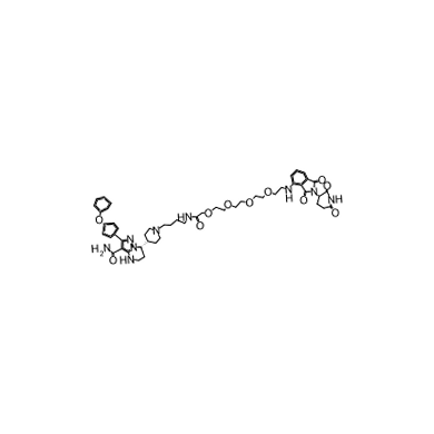 NC(=O)c1c(-c2ccc(Oc3ccccc3)cc2)nn2c1NCC[C@H]2C1CCN(CCCCNC(=O)COCCOCCOCCOCCNc2cccc3c2C(=O)N(C2CCC(=O)NC2=O)C3=O)CC1